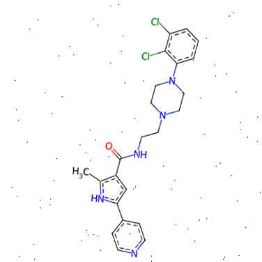 Cc1[nH]c(-c2ccncc2)cc1C(=O)NCCN1CCN(c2cccc(Cl)c2Cl)CC1